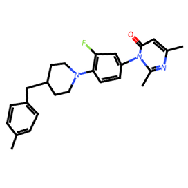 Cc1ccc(CC2CCN(c3ccc(-n4c(C)nc(C)cc4=O)cc3F)CC2)cc1